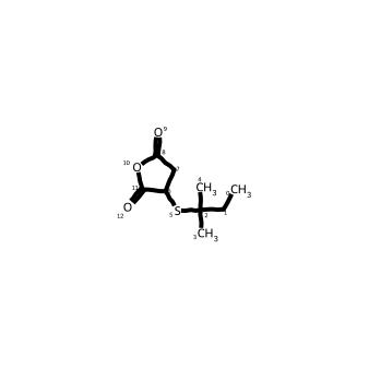 CCC(C)(C)SC1CC(=O)OC1=O